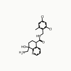 Cc1cc(Cl)cc(Cl)c1CNC(=O)C1CCC(O)(CN)c2ncccc21